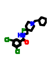 O=C(NCC1(F)CCN(CC2CCCCC2)CC1)c1cc(Cl)cc(Cl)c1